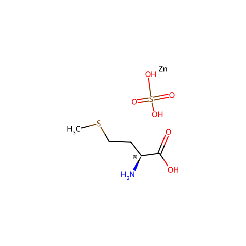 CSCC[C@H](N)C(=O)O.O=S(=O)(O)O.[Zn]